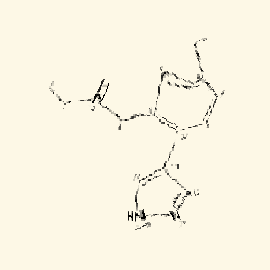 CCNCc1cc(C)ccc1-c1cn[nH]c1